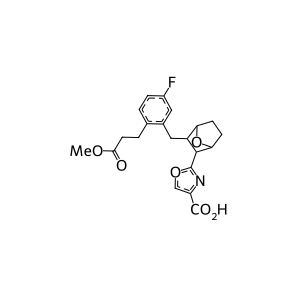 COC(=O)CCc1ccc(F)cc1CC1C2CCC(O2)C1c1nc(C(=O)O)co1